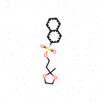 CC1(CCOS(=O)(=O)c2ccc3ccccc3c2)OCCO1